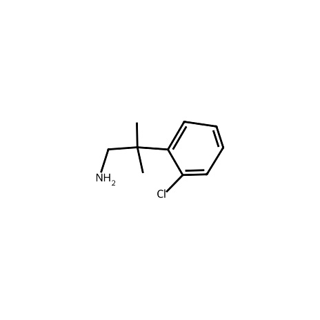 CC(C)(CN)c1ccccc1Cl